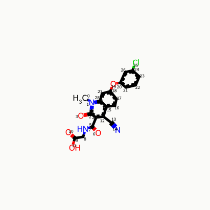 Cn1c(=O)c(C(=O)NCC(=O)O)c(C#N)c2ccc(Oc3cccc(Cl)c3)cc21